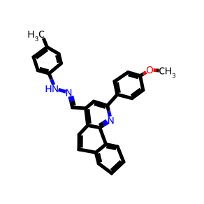 COc1ccc(-c2cc(C=NNc3ccc(C)cc3)c3ccc4ccccc4c3n2)cc1